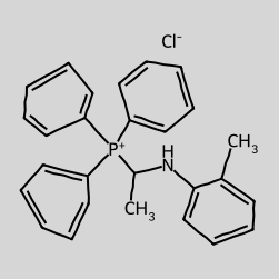 Cc1ccccc1NC(C)[P+](c1ccccc1)(c1ccccc1)c1ccccc1.[Cl-]